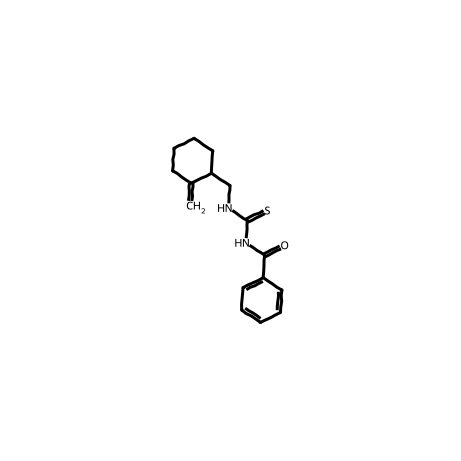 C=C1CCCCC1CNC(=S)NC(=O)c1ccccc1